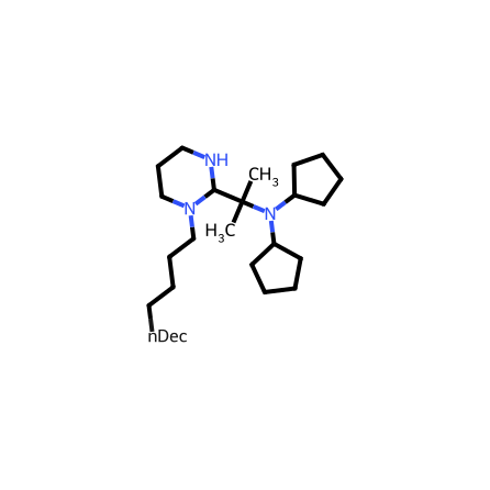 CCCCCCCCCCCCCCN1CCCNC1C(C)(C)N(C1CCCC1)C1CCCC1